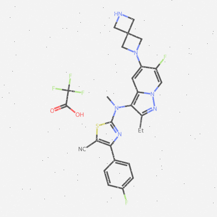 CCc1nn2cc(F)c(N3CC4(CNC4)C3)cc2c1N(C)c1nc(-c2ccc(F)cc2)c(C#N)s1.O=C(O)C(F)(F)F